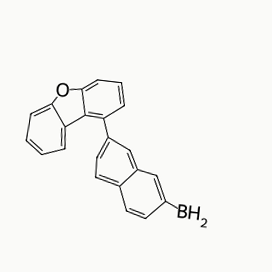 Bc1ccc2ccc(-c3cccc4oc5ccccc5c34)cc2c1